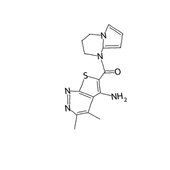 Cc1nnc2sc(C(=O)N3CCCn4cccc43)c(N)c2c1C